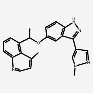 Cc1ccnc2cccc(C(C)Oc3ccc4[nH]nc(-c5cnn(C)c5)c4c3)c12